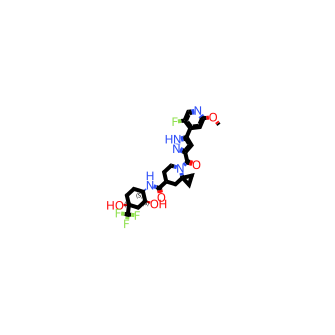 COc1cc(-c2cc(C(=O)N3CCC(C(=O)N[C@H]4CC[C@@](O)(C(F)(F)F)C[C@@H]4O)CC34CC4)n[nH]2)c(F)cn1